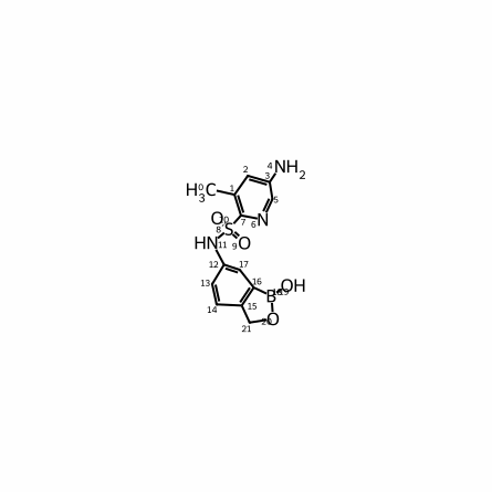 Cc1cc(N)cnc1S(=O)(=O)Nc1ccc2c(c1)B(O)OC2